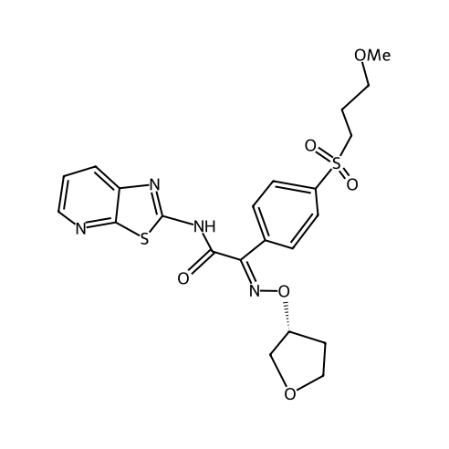 COCCCS(=O)(=O)c1ccc(/C(=N\O[C@@H]2CCOC2)C(=O)Nc2nc3cccnc3s2)cc1